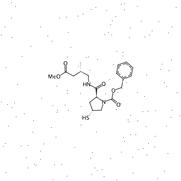 COC(=O)C[C@H](C)CNC(=O)[C@@H]1C[C@@H](S)CN1C(=O)OCc1ccccc1